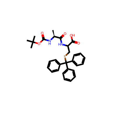 C[C@H](NC(=O)OC(C)(C)C)C(=O)NC(CSC(c1ccccc1)(c1ccccc1)c1ccccc1)C(=O)O